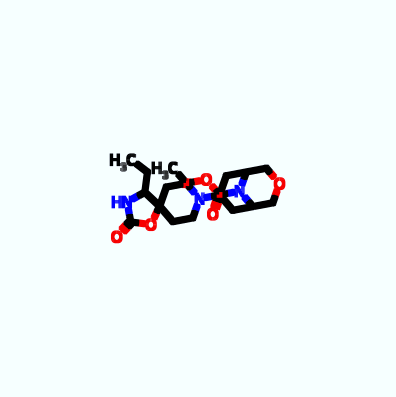 CCOC(=O)N1C2COCC1CC(N1CCC3(CC1)OC(=O)NC3CC)C2